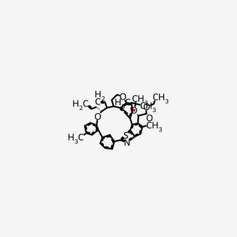 C=CC[C@H]1Oc2ccc(C)cc2-c2cccc(c2)-c2nc3cc(C)c([C@H](OC(C)(C)C)C(=O)OCC)c(c3s2)-c2ccc3c(c2)C(CCO3)C1C=C